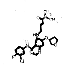 CN(C)C(=O)C=CCNc1cc2c(Nc3ccc(F)c(Cl)c3)ncnc2cc1O[C@@H]1CCOC1